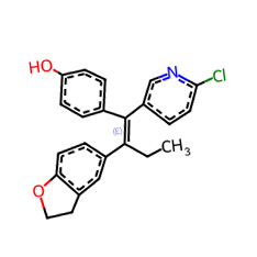 CC/C(=C(/c1ccc(O)cc1)c1ccc(Cl)nc1)c1ccc2c(c1)CCO2